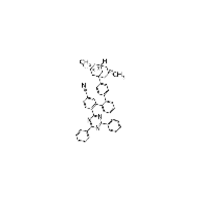 CC[C@@H]1C[C@@H]2C[C@H](C)CC(c3ccc(-c4ccccc4-c4cc(C#N)ccc4-c4nc(-c5ccccc5)nc(-c5ccccc5)n4)cc3)(C1)C2